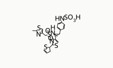 Cc1nc(CS(=O)(=O)N[C@@H](Cc2ccc(NS(=O)(=O)O)cc2)c2csc(C3CC=CS3)n2)cs1